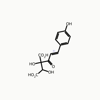 O=C(O)C(O)C(O)(C(=O)O)C(=O)/C=C/c1ccc(O)cc1